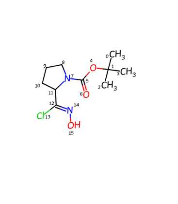 CC(C)(C)OC(=O)N1CCCC1/C(Cl)=N/O